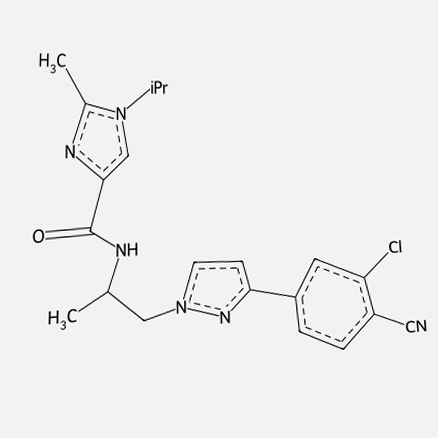 Cc1nc(C(=O)NC(C)Cn2ccc(-c3ccc(C#N)c(Cl)c3)n2)cn1C(C)C